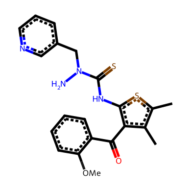 COc1ccccc1C(=O)c1c(NC(=S)N(N)Cc2cccnc2)sc(C)c1C